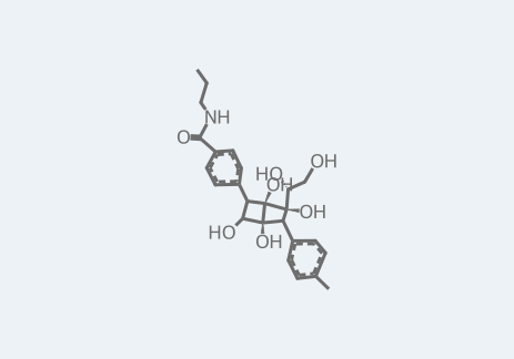 CCCNC(=O)c1ccc(C2C(O)[C@@]3(O)C(c4ccc(C)cc4)[C@@](O)([C@H](O)CO)[C@@]23O)cc1